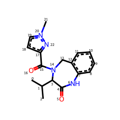 CC(C)C1C(=O)Nc2ccccc2CN1C(=O)c1ccn(C)n1